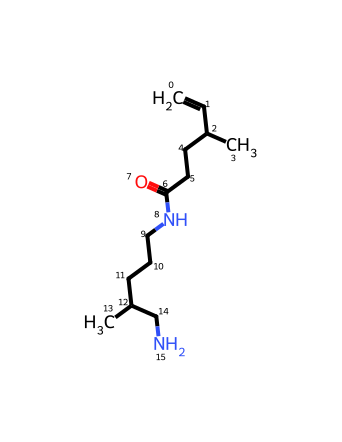 C=CC(C)CCC(=O)NCCCC(C)CN